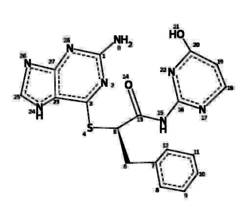 Nc1nc(S[C@H](Cc2ccccc2)C(=O)Nc2nccc(O)n2)c2[nH]cnc2n1